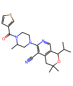 CC(C)C1OC(C)(C)Cc2c1cnc(N1CCN(C(=O)c3ccsc3)C(C)C1)c2C#N